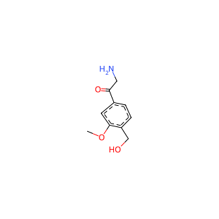 COc1cc(C(=O)CN)ccc1CO